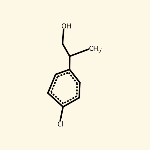 [CH2]C(CO)c1ccc(Cl)cc1